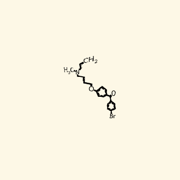 C=CCN(C)CCCCOc1ccc(C(=O)c2ccc(Br)cc2)cc1